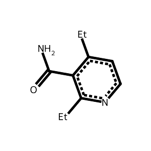 CCc1ccnc(CC)c1C(N)=O